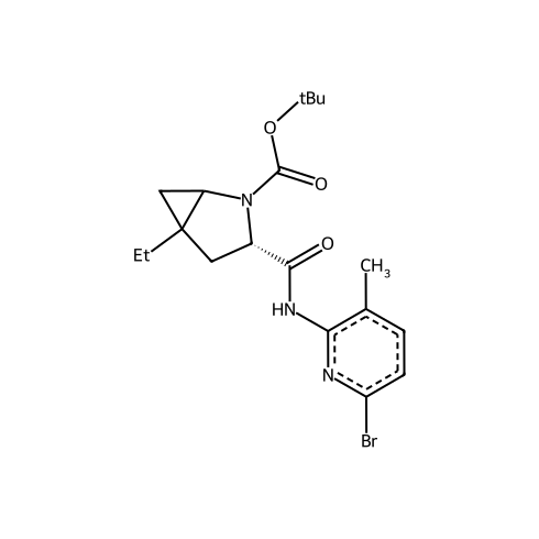 CCC12CC1N(C(=O)OC(C)(C)C)[C@H](C(=O)Nc1nc(Br)ccc1C)C2